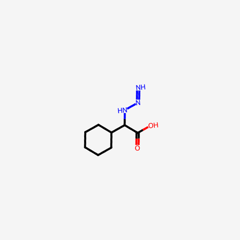 N=NNC(C(=O)O)C1CCCCC1